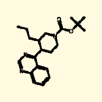 CCCC1CN(C(=O)OC(C)(C)C)CCC1c1ncnc2ccccc12